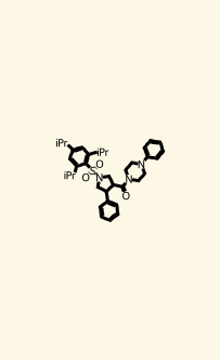 CC(C)c1cc(C(C)C)c(S(=O)(=O)N2CC(C(=O)N3CCN(c4ccccc4)CC3)C(c3ccccc3)C2)c(C(C)C)c1